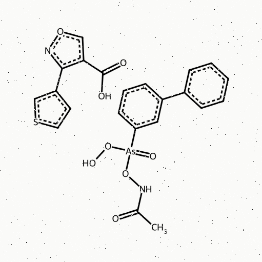 CC(=O)NO[As](=O)(OO)c1cccc(-c2ccccc2)c1.O=C(O)c1conc1-c1ccsc1